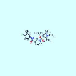 Cc1cc(NC(=O)[C@H]2CCCN(S(=O)(=O)c3c(C(=O)O)c(C)n(C)c3C)C2)ccc1F